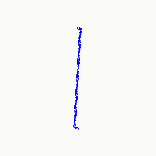 N/N=N/N=N/N=N/N=N/N=N/N=N/N=N/N=N/N=N/N=N/N=N/N=N/N=N/N=N/N=N/N=N/N=N/N=N/N=N/N=N/N=N/N=N/N=N/N=N/N=N/N=N/N=N/N=N/N=N/N=N/N=N/N=N/N=N/N=N/N=N/N=N/N=N/N=N/N